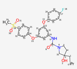 CC(C)CC1(O)CCN(C(=O)Nc2cc(Oc3ccc(F)cc3)cc(Oc3ccc(S(C)(=O)=O)cc3)c2)C1